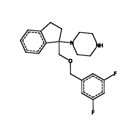 Fc1cc(F)cc(COCC2(N3CCNCC3)CCc3ccccc32)c1